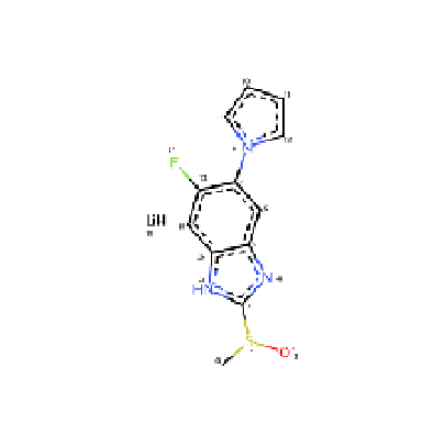 C[S+]([O-])c1nc2cc(-n3cccc3)c(F)cc2[nH]1.[LiH]